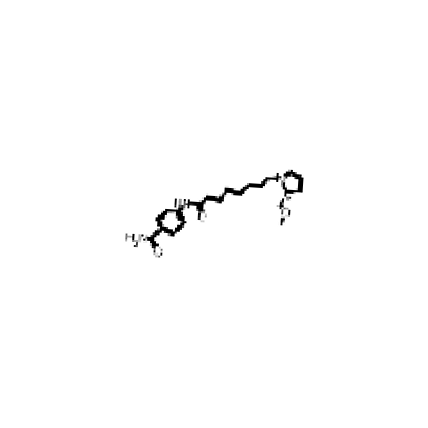 COC[C@@H]1CCCN1CCCCCCCC(=O)Nc1ccc(C(N)=O)cc1